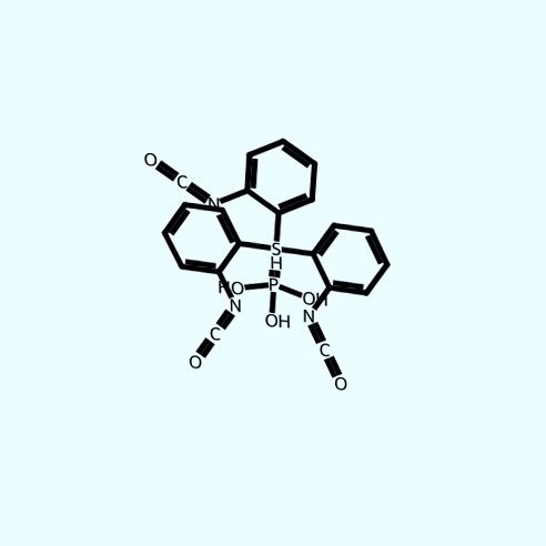 O=C=Nc1ccccc1[SH](c1ccccc1N=C=O)(c1ccccc1N=C=O)=P(O)(O)O